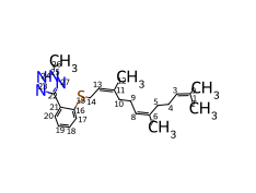 CC(C)=CCCC(C)=CCCC(C)=CCSc1ccccc1-c1nnn(C)n1